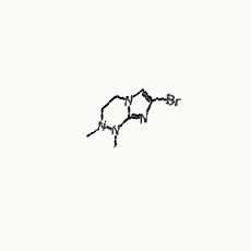 CN1CCn2cc(Br)nc2N1C